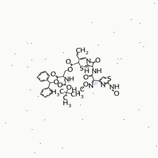 C=CC1=CN2C(=O)C(NC(=O)/C(=N\OC)c3csc(NC=O)n3)[C@H]2SC1C(=O)OCC(NC(=O)OC(C)(C)C)C(=O)OC(c1ccccc1)c1ccccc1